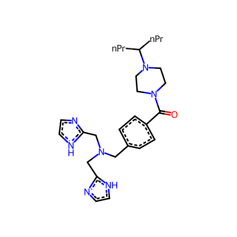 CCCC(CCC)N1CCN(C(=O)c2ccc(CN(Cc3ncc[nH]3)Cc3ncc[nH]3)cc2)CC1